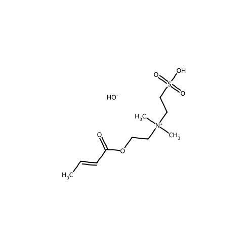 CC=CC(=O)OCC[N+](C)(C)CCS(=O)(=O)O.[OH-]